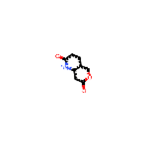 O=c1ccc2coc(=O)cc2[nH]1